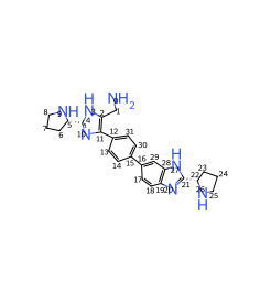 NCc1[nH]c([C@@H]2CCCN2)nc1-c1ccc(-c2ccc3nc([C@@H]4CCCN4)[nH]c3c2)cc1